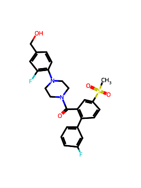 CS(=O)(=O)c1ccc(-c2cccc(F)c2)c(C(=O)N2CCN(c3ccc(CO)cc3F)CC2)c1